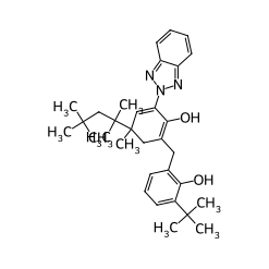 CC(C)(C)CC(C)(C)C1(C)C=C(n2nc3ccccc3n2)C(O)=C(Cc2cccc(C(C)(C)C)c2O)C1